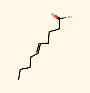 CCCCC=CCCCC(=O)O